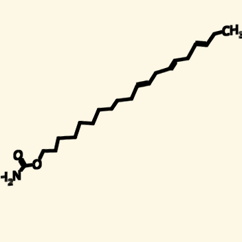 CC/C=C/C/C=C/C/C=C/CCCCCCCCCCOC(N)=O